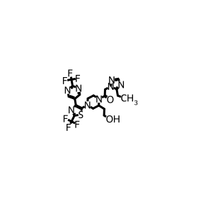 CCc1ncnn1CC(=O)N1CCN(c2sc(C(F)(F)F)nc2-c2cnc(C(F)(F)F)nc2)CC1CCO